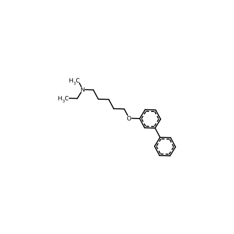 CCN(C)CCCCCOc1cccc(-c2ccccc2)c1